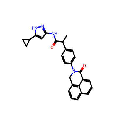 CC(C(=O)Nc1cc(C2CC2)[nH]n1)c1ccc(N2Cc3cccc4cccc(c34)C2=O)cc1